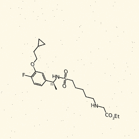 CCOC(=O)CNCCCCCS(=O)(=O)N[C@@H](C)c1ccc(F)c(OCCC2CC2)c1